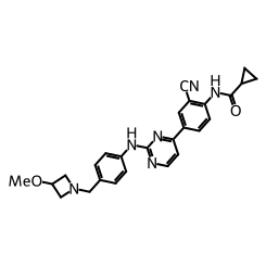 COC1CN(Cc2ccc(Nc3nccc(-c4ccc(NC(=O)C5CC5)c(C#N)c4)n3)cc2)C1